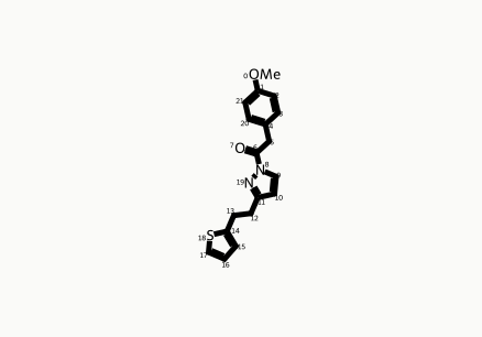 COc1ccc(CC(=O)n2ccc(CCc3cccs3)n2)cc1